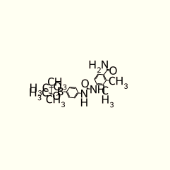 Cc1c(NC(=O)Nc2ccc(B3OC(C)(C)C(C)(C)O3)cc2)ccc(C(N)=O)c1C